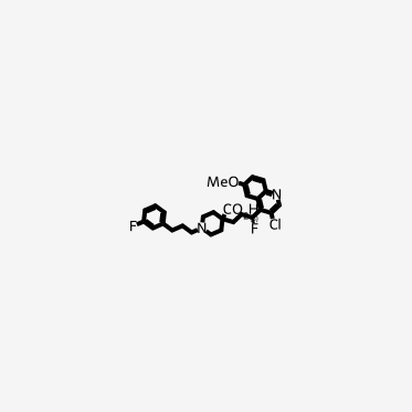 COc1ccc2ncc(Cl)c([C@@H](F)CCC3(C(=O)O)CCN(CCCc4cccc(F)c4)CC3)c2c1